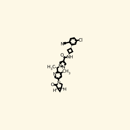 Cc1cc(N2C[C@H]3C[C@H]3C2=O)cnc1[C@H](C)n1cc(C(=O)N[C@H]2C[C@@H](c3cc(Cl)ccc3C#N)C2)cn1